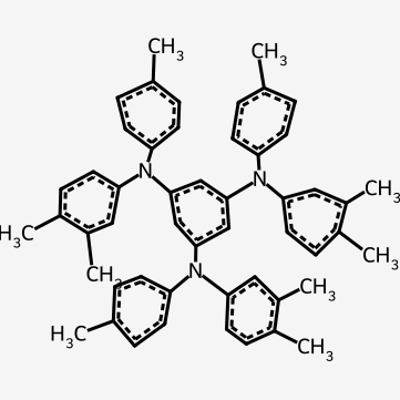 Cc1ccc(N(c2cc(N(c3ccc(C)cc3)c3ccc(C)c(C)c3)cc(N(c3ccc(C)cc3)c3ccc(C)c(C)c3)c2)c2ccc(C)c(C)c2)cc1